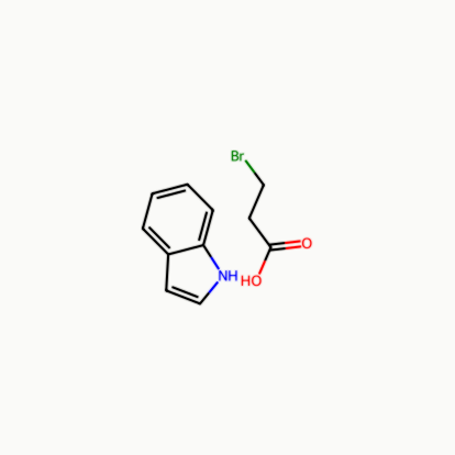 O=C(O)CCBr.c1ccc2[nH]ccc2c1